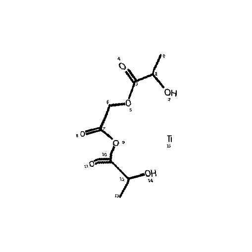 CC(O)C(=O)OCC(=O)OC(=O)C(C)O.[Ti]